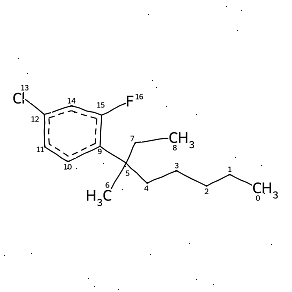 CCCCCC(C)(CC)c1ccc(Cl)cc1F